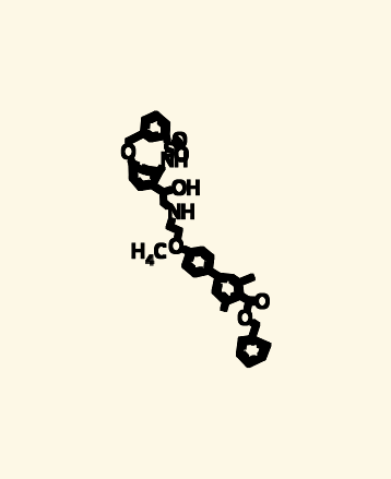 C.Cc1cc(-c2ccc(OCCNCC(O)c3ccc4cc3NS(=O)(=O)c3cccc(c3)CO4)cc2)cc(C)c1C(=O)OCc1ccccc1